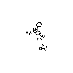 Cc1nn(-c2ccccc2)c2sc(C(=O)NCCN3CCOC3=O)cc12